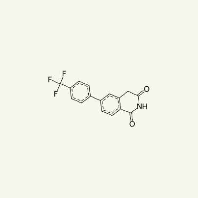 O=C1Cc2cc(-c3ccc(C(F)(F)F)cc3)ccc2C(=O)N1